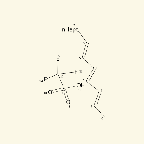 CC=CC=CC=CCCCCCCC.O=S(=O)(O)C(F)(F)F